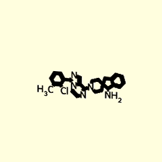 Cc1cccc(-c2ncc3c(N4CCC5(CC4)Cc4ccccc4[C@H]5N)nccn23)c1Cl